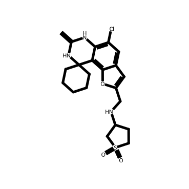 C=C1Nc2c(Cl)cc3cc(CNC4CCS(=O)(=O)C4)oc3c2C2(CCCCC2)N1